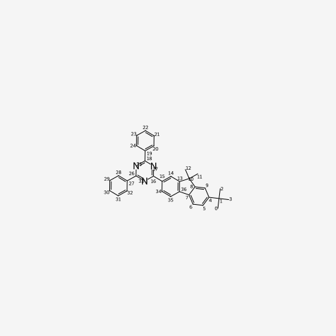 CC(C)(C)c1ccc2c(c1)C(C)(C)c1cc(-c3nc(-c4ccccc4)nc(-c4ccccc4)n3)ccc1-2